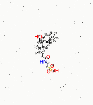 C[C@H](CCC(=O)NCCS(=O)(=O)O)[C@H]1CC[C@@H]2C3[C@@H](CC[C@@]21C)[C@@]1(C)CCCCC1C[C@@H]3O